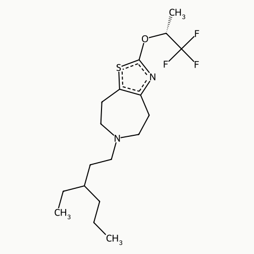 CCCC(CC)CCN1CCc2nc(O[C@H](C)C(F)(F)F)sc2CC1